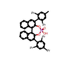 Cc1cc(C(C)C)c(-c2cc3ccccc3c3c2OP(=O)(O)Oc2c(-c4c(C(C)C)cc(C(C)C)cc4C(C)C)cc4ccccc4c2-3)c(C(C)C)c1